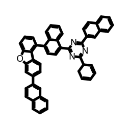 C1=CCC(c2nc(-c3ccc4ccccc4c3)nc(-c3ccc(-c4cccc5oc6cc(-c7ccc8ccccc8c7)ccc6c45)c4ccccc34)n2)C=C1